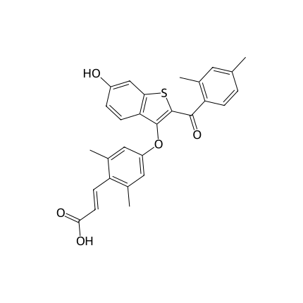 Cc1ccc(C(=O)c2sc3cc(O)ccc3c2Oc2cc(C)c(/C=C/C(=O)O)c(C)c2)c(C)c1